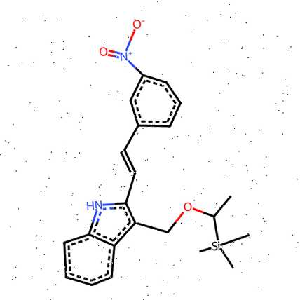 CC(OCc1c(C=Cc2cccc([N+](=O)[O-])c2)[nH]c2ccccc12)[Si](C)(C)C